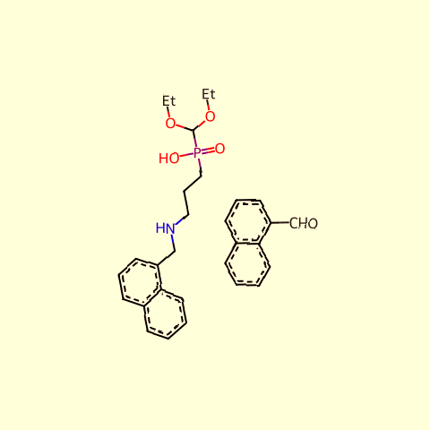 CCOC(OCC)P(=O)(O)CCCNCc1cccc2ccccc12.O=Cc1cccc2ccccc12